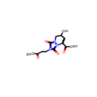 COC(=O)CCn1c(=O)n2n(c1=O)C(C(=O)OC)=CC(OC(C)=O)C2